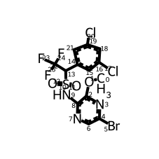 COc1nc(Br)cnc1NS(=O)(=O)C(c1cc(Cl)cc(Cl)c1)C(F)(F)F